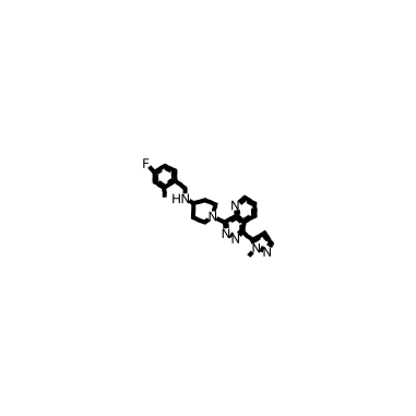 Cc1cc(F)ccc1CNC1CCN(c2nnc(-c3ccnn3C)c3cccnc23)CC1